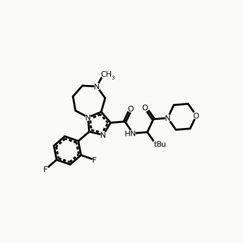 CN1CCCn2c(-c3ccc(F)cc3F)nc(C(=O)NC(C(=O)N3CCOCC3)C(C)(C)C)c2C1